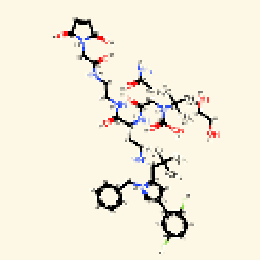 CC(C)(C)[C@@H](NCC[C@H](NC(=O)[C@H](CC(N)=O)N(C(=O)O)C(C)(C)C)C(=O)NCCNC(=O)CN1C(=O)C=CC1=O)c1cc(-c2cc(F)ccc2F)cn1Cc1ccccc1.OCCO